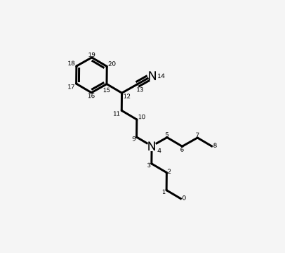 CCCCN(CCCC)CCCC(C#N)c1ccccc1